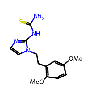 COc1ccc(OC)c(CCn2ccnc2NC(N)=S)c1